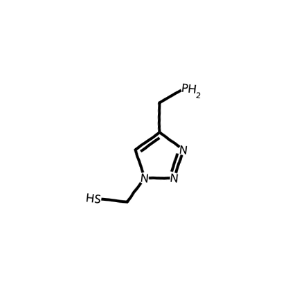 PCc1cn(CS)nn1